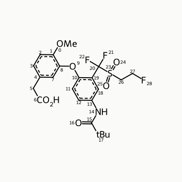 COc1ccc(CC(=O)O)cc1Oc1ccc(NC(=O)C(C)(C)C)cc1C(F)(F)S(=O)(=O)CCF